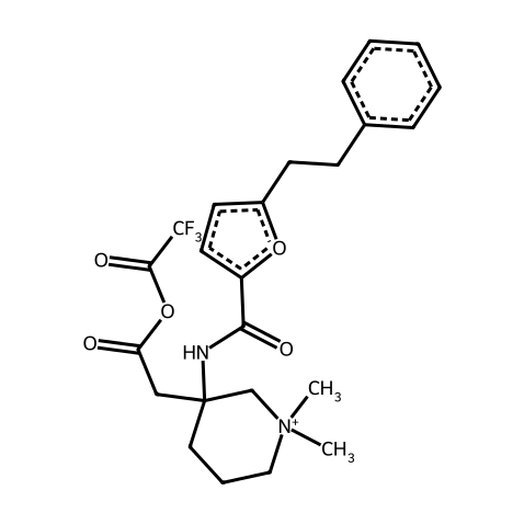 C[N+]1(C)CCCC(CC(=O)OC(=O)C(F)(F)F)(NC(=O)c2ccc(CCc3ccccc3)o2)C1